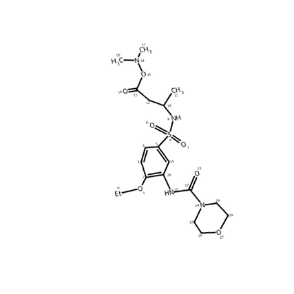 CCOc1ccc(S(=O)(=O)NC(C)CC(=O)ON(C)C)cc1NC(=O)N1CCOCC1